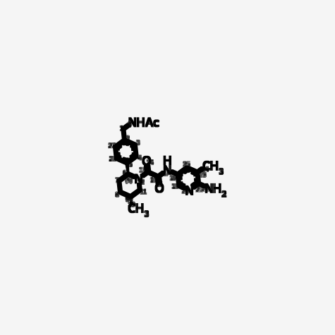 CC(=O)NCc1ccc([C@@H]2CC[C@@H](C)CN2C(=O)C(=O)Nc2cnc(N)c(C)c2)cc1